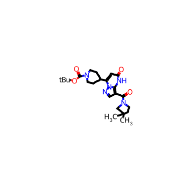 CC1(C)CCN(C(=O)c2cnn3c(C4CCN(C(=O)OC(C)(C)C)CC4)cc(=O)[nH]c23)C1